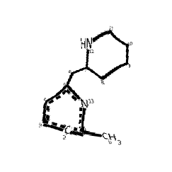 Cc1cccc(CC2CCCCN2)n1